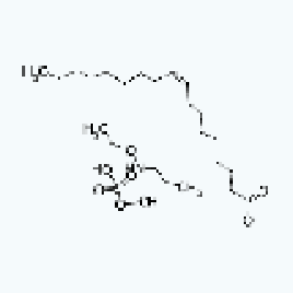 CCCCCCCC/C=C\CCCCCCCC([O])=O.CCCNOCC.COS(=O)(=O)O